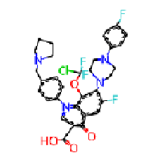 O=C(O)c1cn(-c2ccc(CN3CCCC3)cc2)c2c(OC(F)(F)Cl)c(N3CCN(c4ccc(F)cc4)CC3)c(F)cc2c1=O